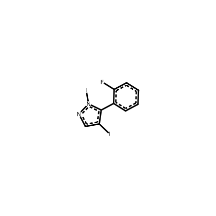 Fc1ccccc1-c1c(I)cnn1I